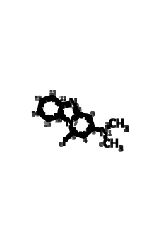 CN(C)c1cc(I)n2c(c1)nc1ccccc12